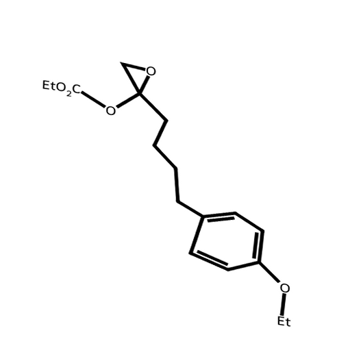 CCOC(=O)OC1(CCCCc2ccc(OCC)cc2)CO1